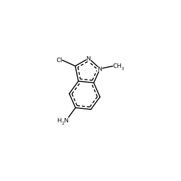 Cn1nc(Cl)c2cc(N)ccc21